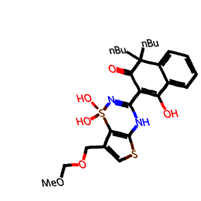 CCCCC1(CCCC)C(=O)C(C2=NS(O)(O)c3c(COCOC)csc3N2)=C(O)c2ccccc21